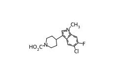 Cn1cc(C2CCN(C(=O)O)CC2)c2cc(Cl)c(F)cc21